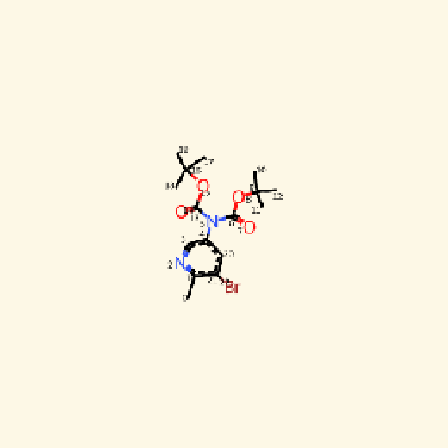 Cc1ncc(N(C(=O)OC(C)(C)C)C(=O)OC(C)(C)C)cc1Br